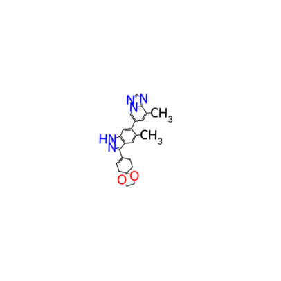 Cc1cc2c(C3=CCC4(CC3)OCCO4)n[nH]c2cc1-c1cc(C)c2ncnn2c1